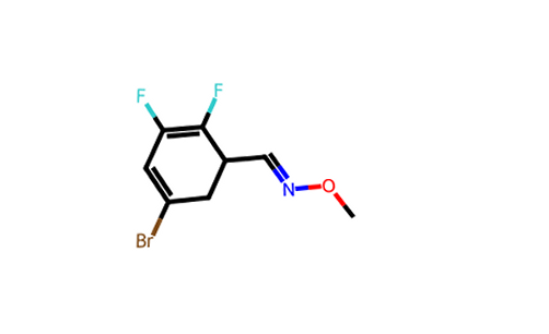 CO/N=C/C1CC(Br)=CC(F)=C1F